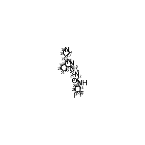 O=C(CN1CCN(c2nnc(Cc3ccncc3)c3ccccc23)CC1)Nc1ccc(F)c(F)c1